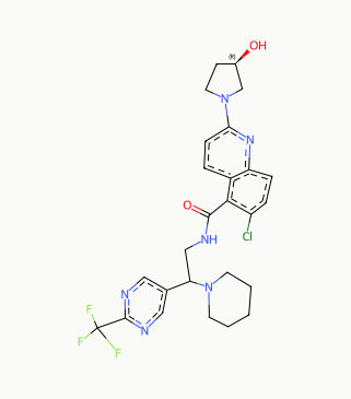 O=C(NCC(c1cnc(C(F)(F)F)nc1)N1CCCCC1)c1c(Cl)ccc2nc(N3CC[C@@H](O)C3)ccc12